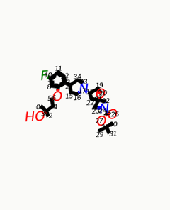 CC(C)(O)CCOc1cc(F)ccc1C1CCN([C@@H]2COC3(C2)CN(C(=O)OC(C)(C)C)C3)CC1